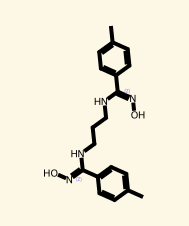 Cc1ccc(/C(=N/O)NCCCN/C(=N\O)c2ccc(C)cc2)cc1